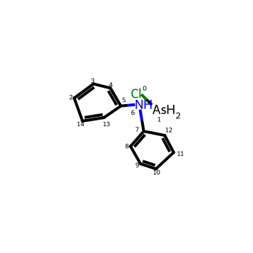 Cl[AsH2].c1ccc(Nc2ccccc2)cc1